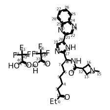 CCC(=O)CCCCC[C@H](NC(=O)C1CN(C)C1)c1ncc(-c2cnc3ccccc3n2)[nH]1.O=C(O)C(F)(F)F.O=C(O)C(F)(F)F